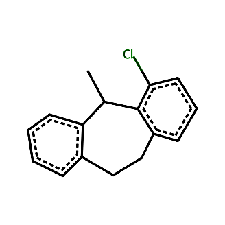 CC1c2ccccc2CCc2cccc(Cl)c21